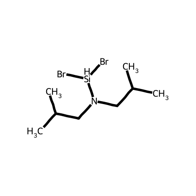 CC(C)CN(CC(C)C)[SiH](Br)Br